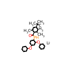 Cc1cc(C(C)(C)C)cc(C)c1C(=O)Pc1ccc(Oc2ccccc2)cc1Oc1ccccc1.[Li]